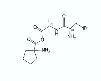 CC(C)C[C@H](N)C(=O)N[C@@H](C)C(=O)OC(=O)C1(N)CCCC1